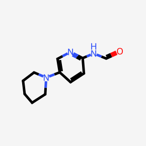 O=CNc1ccc(N2CCCCC2)cn1